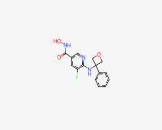 O=C(NO)c1cnc(NC2(c3ccccc3)COC2)c(F)c1